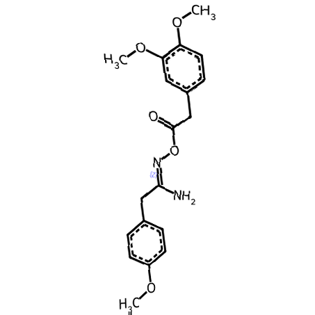 COc1ccc(C/C(N)=N/OC(=O)Cc2ccc(OC)c(OC)c2)cc1